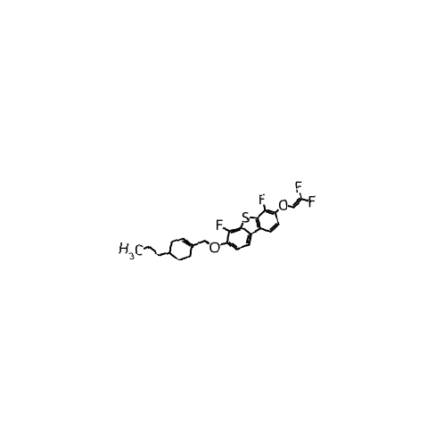 CCCC1CC=C(COc2ccc3c(sc4c(F)c(OC=C(F)F)ccc43)c2F)CC1